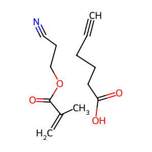 C#CCCCC(=O)O.C=C(C)C(=O)OCCC#N